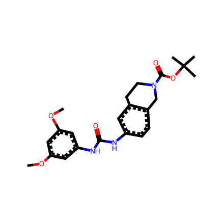 COc1cc(NC(=O)Nc2ccc3c(c2)CCN(C(=O)OC(C)(C)C)C3)cc(OC)c1